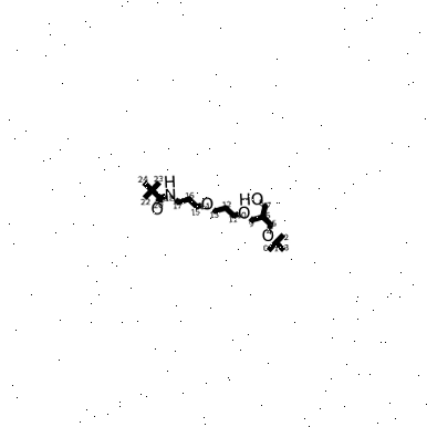 CC(C)(C)OCC(CO)COCCCOCCCNC(=O)C(C)(C)C